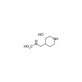 Cl.O=C(O)NCC1CCNCC1